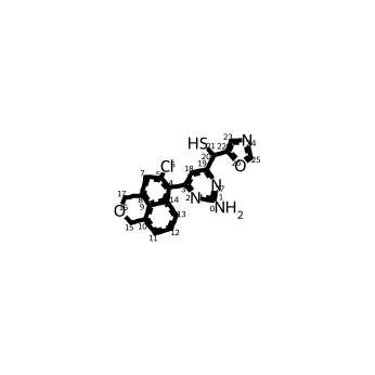 Nc1nc(-c2c(Cl)cc3c4c(cccc24)COC3)cc(C(S)c2cnco2)n1